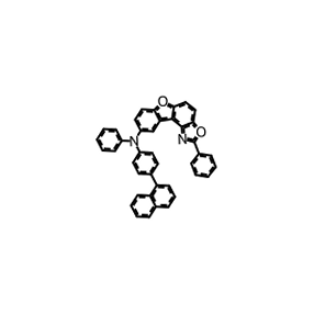 c1ccc(-c2nc3c(ccc4oc5ccc(N(c6ccccc6)c6ccc(-c7cccc8ccccc78)cc6)cc5c43)o2)cc1